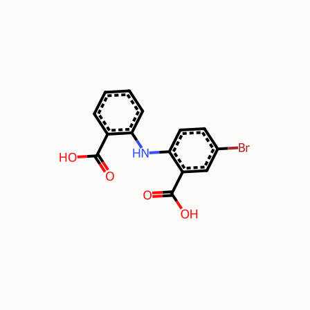 O=C(O)c1ccccc1Nc1ccc(Br)cc1C(=O)O